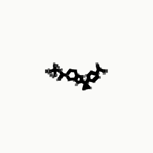 CC(C)(C)OC(=O)N1CCc2nc(C3(c4ccc(C(=O)O)cc4)CC3)sc2C1